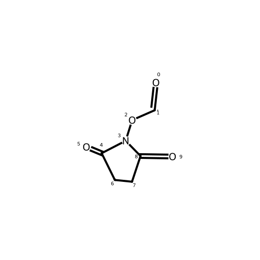 O=[C]ON1C(=O)CCC1=O